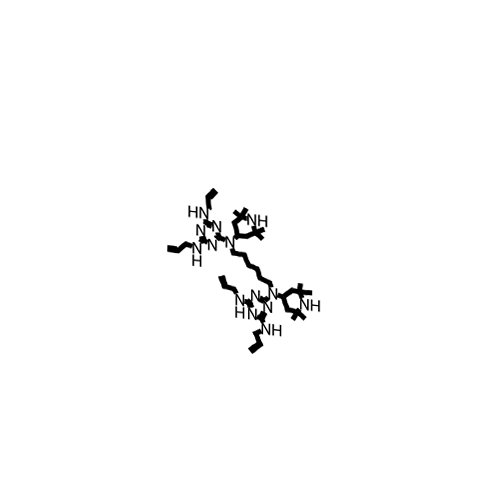 C=CCNc1nc(NCC=C)nc(N(CCCCCCN(c2nc(NCC=C)nc(NCC=C)n2)C2CC(C)(C)NC(C)(C)C2)C2CC(C)(C)NC(C)(C)C2)n1